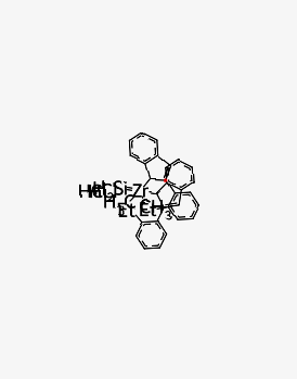 CCc1ccccc1C1=Cc2ccccc2[CH]1[Zr]([CH3])([CH3])(=[SiH2])[CH]1C(c2ccccc2CC)=Cc2ccccc21.Cl.Cl